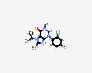 CCc1nc2c(n1C(CC)CC)C(=O)N(C)CN2c1ccc(Cl)cc1Cl